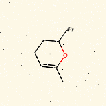 CC1=CCCC(C(C)C)O1